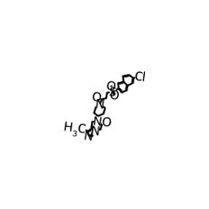 Cc1ncn2c1CN(C1CCN(C(=O)CCS(=O)(=O)c3ccc4cc(Cl)ccc4c3)CC1)C(=O)C2